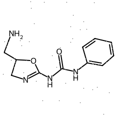 NCC1CN=C(NC(=O)Nc2ccccc2)O1